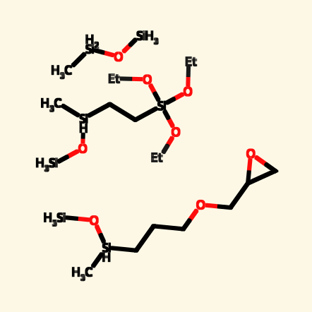 CCO[Si](CC[SiH](C)O[SiH3])(OCC)OCC.C[SiH2]O[SiH3].C[SiH](CCCOCC1CO1)O[SiH3]